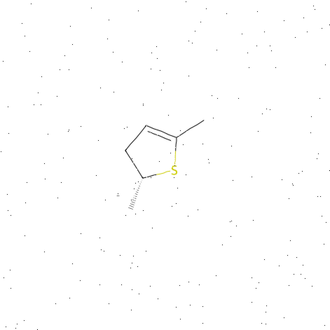 CC1=CC[C@@H](C)S1